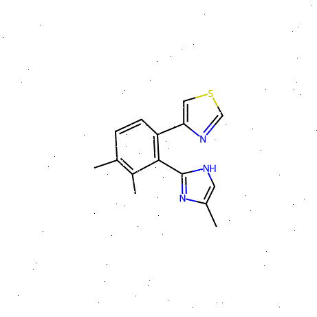 Cc1c[nH]c(-c2c(-c3cscn3)ccc(C)c2C)n1